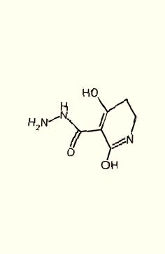 NNC(=O)C1=C(O)CCN=C1O